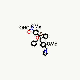 COc1cc(CC2c3ccccc3SC2(OCc2ccccc2)c2ccc(N(OC)C(=O)C=O)cc2)ccc1CN1CCCC1